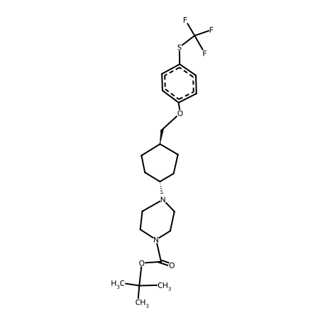 CC(C)(C)OC(=O)N1CCN([C@H]2CC[C@H](COc3ccc(SC(F)(F)F)cc3)CC2)CC1